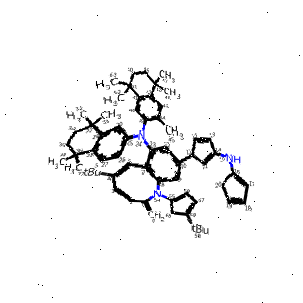 C=C1/C=C\C(C(C)(C)C)=C/c2c(cc(C3C=CC(NC4=CC=CC4)=C3)cc2N(c2ccc3c(c2)C(C)(C)CCC3(C)C)c2cc3c(cc2C)C(C)(C)CCC3(C)C)N1C1=CC=C(C(C)(C)C)C1